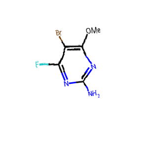 COc1nc(N)nc(F)c1Br